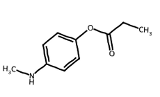 CCC(=O)Oc1ccc(NC)cc1